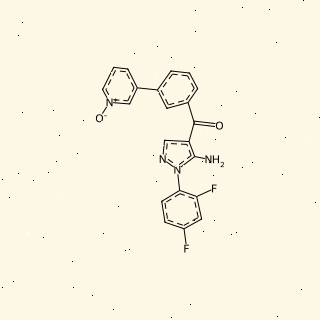 Nc1c(C(=O)c2cccc(-c3ccc[n+]([O-])c3)c2)cnn1-c1ccc(F)cc1F